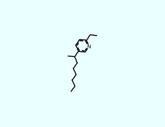 CCCCCCC(C)c1ccc(CC)nc1